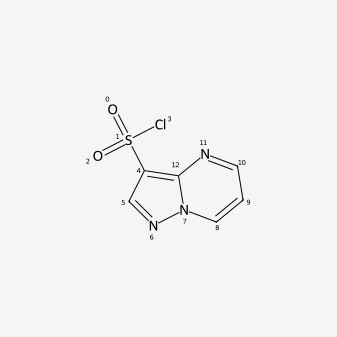 O=S(=O)(Cl)c1cnn2cccnc12